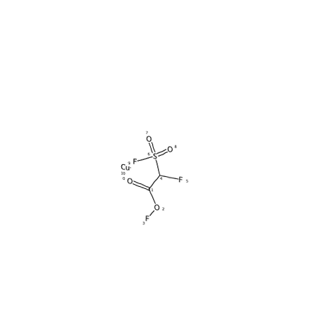 O=C(OF)C(F)S(=O)(=O)F.[Cu]